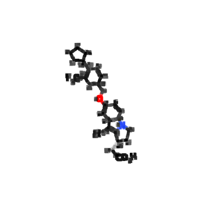 CCc1c2n(c3ccc(OCc4ccc(C5CCCC5)c(C(F)(F)F)c4)cc13)CC[C@@H]2CC(=O)O